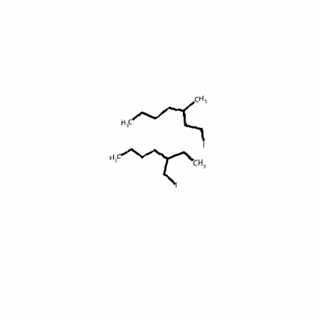 CCCCC(C)CCI.CCCCC(CC)CI